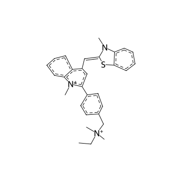 CC[N+](C)(C)Cc1ccc(-c2cc(/C=C3\Sc4ccccc4N3C)c3ccccc3[n+]2C)cc1